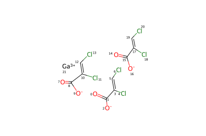 O=C([O-])C(Cl)=CCl.O=C([O-])C(Cl)=CCl.O=C([O-])C(Cl)=CCl.[Ga+3]